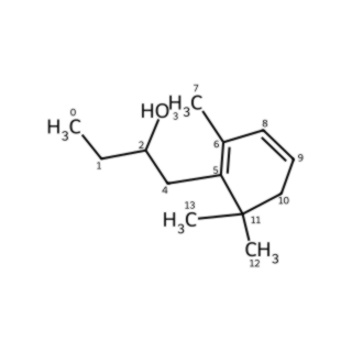 CCC(O)CC1=C(C)C=CCC1(C)C